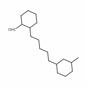 CC1CCCC(CCCCCC2CCCCC2C=O)C1